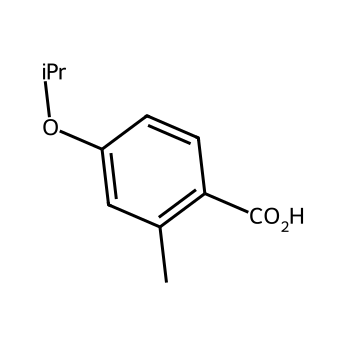 Cc1cc(OC(C)C)ccc1C(=O)O